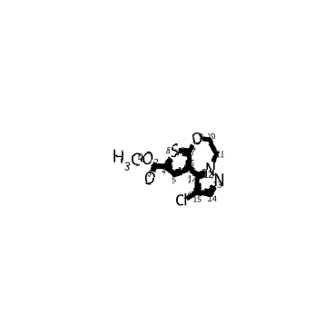 COC(=O)c1cc2c(s1)OCCn1ncc(Cl)c1-2